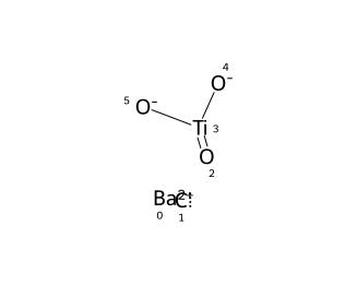 [Ba+2].[C].[O]=[Ti]([O-])[O-]